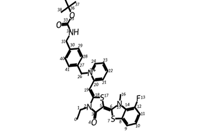 CCn1c(=O)/c(=C2\Sc3cccc(F)c3N2C)s/c1=C\c1cccc[n+]1Cc1ccc(CNC(=O)OC(C)(C)C)cc1